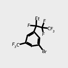 CCC(F)(c1cc(Br)[c]c(C(F)(F)F)c1)C(F)(F)C(F)(F)F